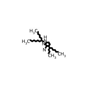 CCCCCCCC(CCCCCC)c1nc2c(C#N)c(C(CCCC)CCCCCC)ccc2[nH]1